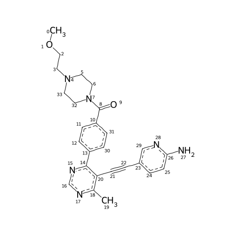 COCCN1CCN(C(=O)c2ccc(-c3ncnc(C)c3C#Cc3ccc(N)nc3)cc2)CC1